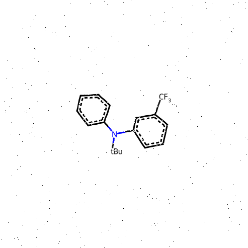 CC(C)(C)N(c1ccccc1)c1cccc(C(F)(F)F)c1